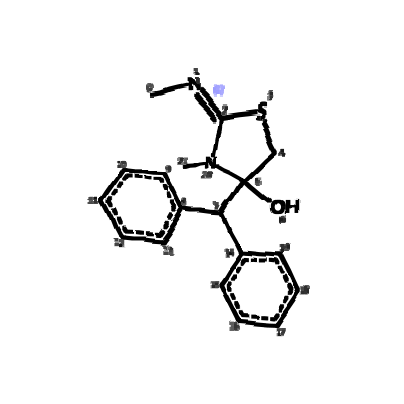 C/N=C1/SCC(O)(C(c2ccccc2)c2ccccc2)N1C